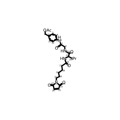 CC(=O)OCc1ccc(NC(=O)CNC(=O)C(NC(=O)CCCCCN2C(=O)C=CC2=O)C(C)C)cc1